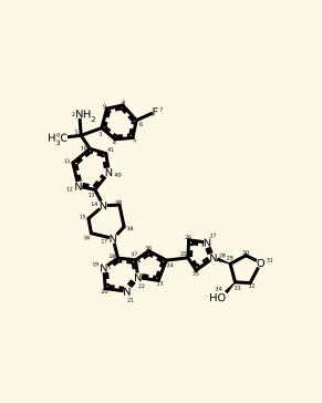 CC(N)(c1ccc(F)cc1)c1cnc(N2CCN(c3ncnn4cc(-c5cnn([C@H]6COC[C@H]6O)c5)cc34)CC2)nc1